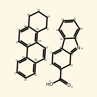 O=C(O)C1=CC=C2C(=Nc3ccccc32)C1.c1ccc2c(c1)ccc1c3c(ccc12)CCCC3